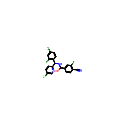 N#Cc1ccc(C(O)N[C@@H](c2ccc(Cl)cn2)c2ccc(Cl)cc2F)cc1F